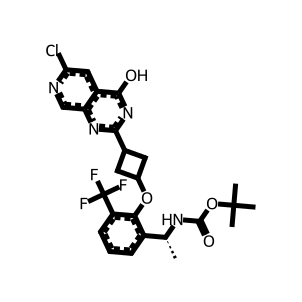 C[C@@H](NC(=O)OC(C)(C)C)c1cccc(C(F)(F)F)c1OC1CC(c2nc(O)c3cc(Cl)ncc3n2)C1